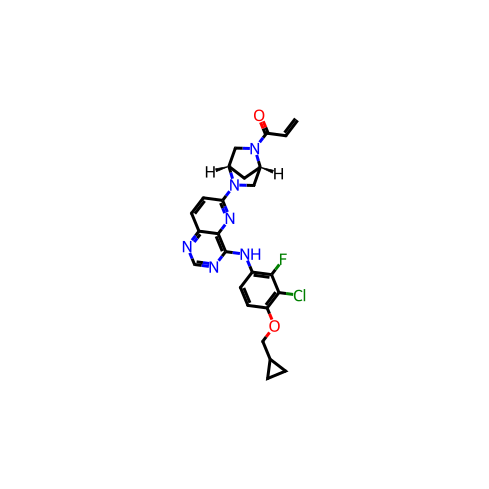 C=CC(=O)N1C[C@@H]2C[C@H]1CN2c1ccc2ncnc(Nc3ccc(OCC4CC4)c(Cl)c3F)c2n1